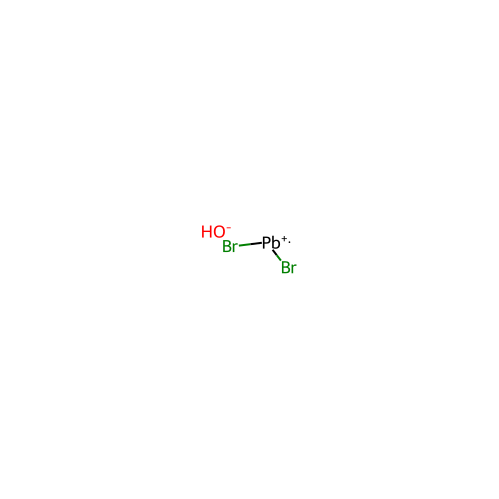 [Br][Pb+][Br].[OH-]